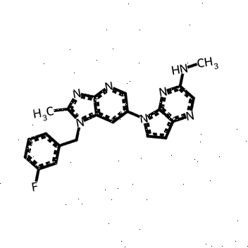 CNc1cnc2ccn(-c3cnc4nc(C)n(Cc5cccc(F)c5)c4c3)c2n1